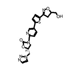 O=C1O[C@@H](Cn2ccnn2)CN1c1ccc(-c2ccc(C3=NOC(CO)C3)s2)cn1